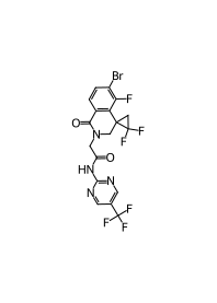 O=C(CN1CC2(CC2(F)F)c2c(ccc(Br)c2F)C1=O)Nc1ncc(C(F)(F)F)cn1